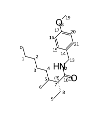 CCCCCC(C)[C@@H](CC)C(=O)NCc1ccc(OC)cc1